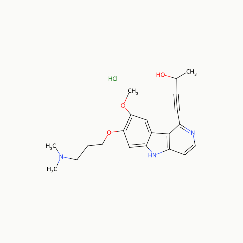 COc1cc2c(cc1OCCCN(C)C)[nH]c1ccnc(C#CC(C)O)c12.Cl